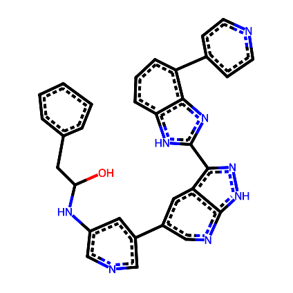 OC(Cc1ccccc1)Nc1cncc(-c2cnc3[nH]nc(-c4nc5c(-c6ccncc6)cccc5[nH]4)c3c2)c1